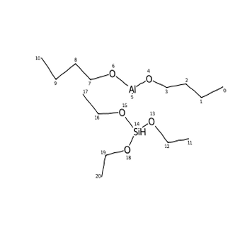 CCCC[O][Al][O]CCCC.CCO[SiH](OCC)OCC